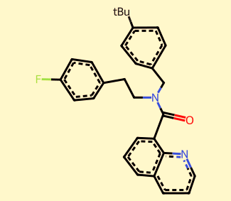 CC(C)(C)c1ccc(CN(CCc2ccc(F)cc2)C(=O)c2cccc3cccnc23)cc1